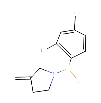 C=C1CCN([S+]([O-])c2ccc(C(F)(F)F)cc2C#N)C1